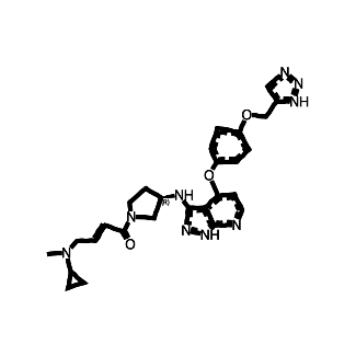 CN(CC=CC(=O)N1CC[C@@H](Nc2n[nH]c3nccc(Oc4ccc(OCc5cnn[nH]5)cc4)c23)C1)C1CC1